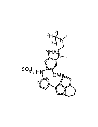 CS(=O)(=O)O.[2H]C([2H])([2H])N(C)CCN(C)c1cc(OC)c(Nc2nccc(-c3cn4c5c(cccc35)CCC4)n2)cc1NC(C)=O